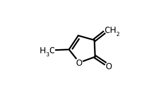 C=C1C=C(C)OC1=O